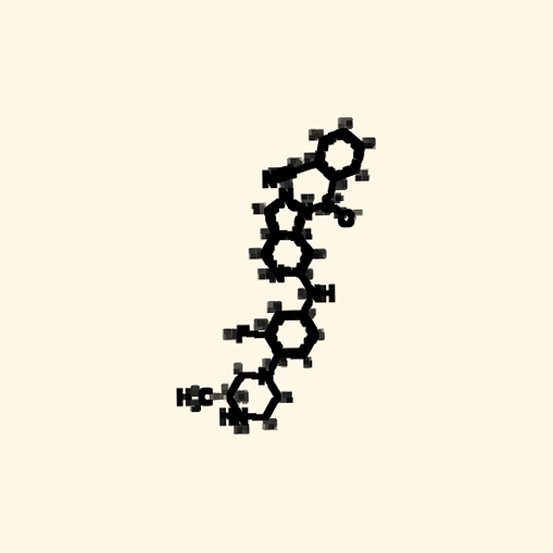 C[C@@H]1CN(c2ccc(Nc3cc4c(cn3)cnn4[S+]([O-])c3ccccc3C#N)cc2F)CCN1